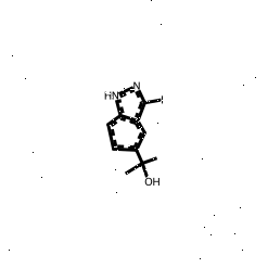 CC(C)(O)c1ccc2[nH]nc(I)c2c1